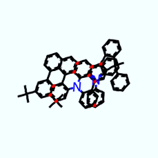 CC(C)(C)c1cc(-c2cccc3cccc(-c4ccccc4N(c4ccccc4-c4ccc5c(c4)C(C)(c4ccccc4)c4ccccc4-5)c4cccc5c6ccccc6n(-c6ccccc6)c45)c23)cc(C(C)(C)C)c1